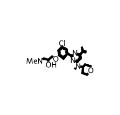 C=C(C)c1cc(N(C)C2CCOCC2)nc(-c2cc(Cl)cc(OCC(O)CNC)c2)n1